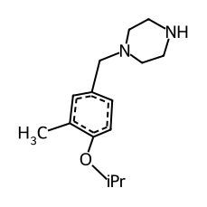 Cc1cc(CN2CCNCC2)ccc1OC(C)C